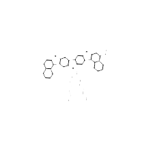 CCCCCCCCC1(CCCCCCCC)c2cc3c(cc2-c2cc4c(cc21)-c1c(cc(C(C)C)c2ccccc12)C4(C)C)C(C)(C)c1ccc2ccccc2c1-3